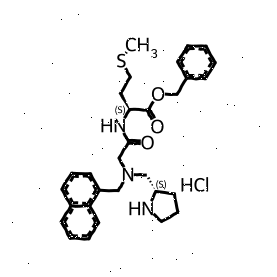 CSCC[C@H](NC(=O)CN(Cc1cccc2ccccc12)C[C@@H]1CCCN1)C(=O)OCc1ccccc1.Cl